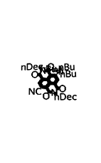 CCCCCCCCCCN1C(=O)c2c[c]([Sn]([CH2]CCC)([CH2]CCC)[CH2]CCC)c3c4c(cc(C#N)c(c24)C1=O)C(=O)N(CCCCCCCCCC)C3=O